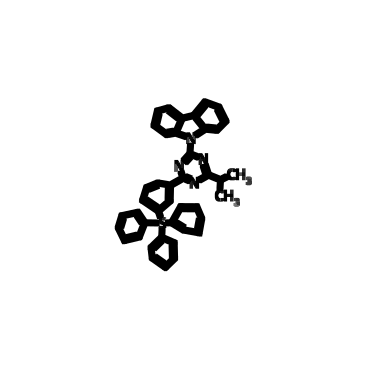 CC(C)c1nc(-c2cccc(S(c3ccccc3)(c3ccccc3)c3ccccc3)c2)nc(-n2c3ccccc3c3ccccc32)n1